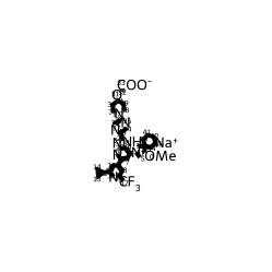 COCC1(CN(C)c2cc(-c3cc(C4CC4)nc(C(F)(F)F)c3)nc3nc(-c4cnc(N5CCC(OCC(=O)[O-])CC5)cn4)[nH]c23)CCCCC1.[Na+]